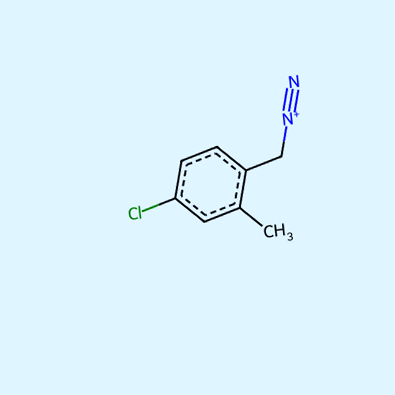 Cc1cc(Cl)ccc1C[N+]#N